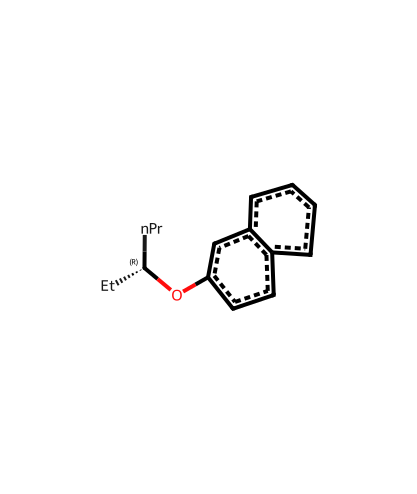 [CH2]C[C@H](CCC)Oc1ccc2ccccc2c1